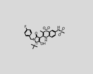 CC1=C(C2=C(O)[C@H](C(C)(C)C)N(Cc3ccc(F)cc3)C2=O)Nc2ccc(NS(C)(=O)=O)cc2S1(=O)=O